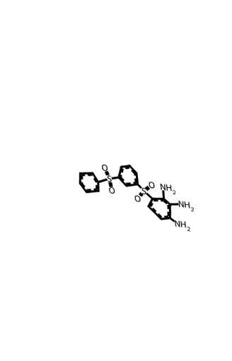 Nc1ccc(S(=O)(=O)c2cccc(S(=O)(=O)c3ccccc3)c2)c(N)c1N